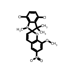 COc1cc([N+](=O)[O-])cc2c1OC1(C=C2)N(C)c2c(Cl)ccc(Cl)c2C1(C)C